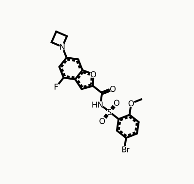 COc1ccc(Br)cc1S(=O)(=O)NC(=O)c1cc2c(F)cc(N3CCC3)cc2o1